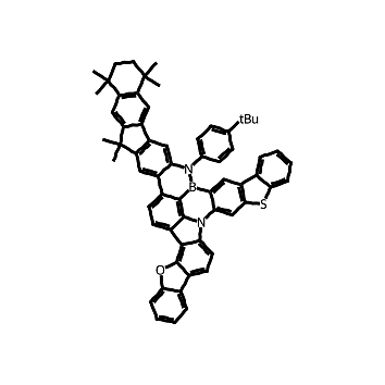 CC(C)(C)c1ccc(N2B3c4cc5c(cc4-n4c6ccc7c8ccccc8oc7c6c6ccc(c3c64)-c3cc4c(cc32)-c2cc3c(cc2C4(C)C)C(C)(C)CCC3(C)C)sc2ccccc25)cc1